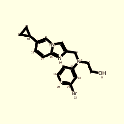 OCCN(Cc1cn2cc(C3CC3)ccc2n1)c1ccnc(Br)c1